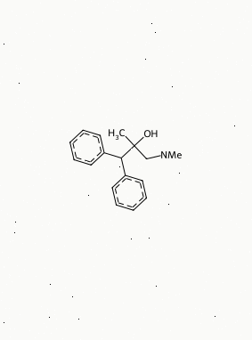 CNCC(C)(O)C(c1ccccc1)c1ccccc1